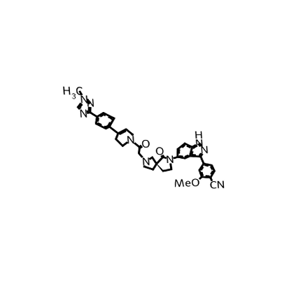 COc1cc(-c2n[nH]c3ccc(N4CC[C@]5(CCN(CC(=O)N6CC=C(c7ccc(-c8ncn(C)n8)cc7)CC6)C5)C4=O)cc23)ccc1C#N